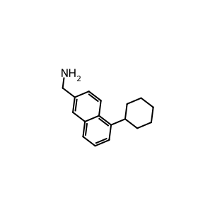 NCc1ccc2c(C3CCCCC3)cccc2c1